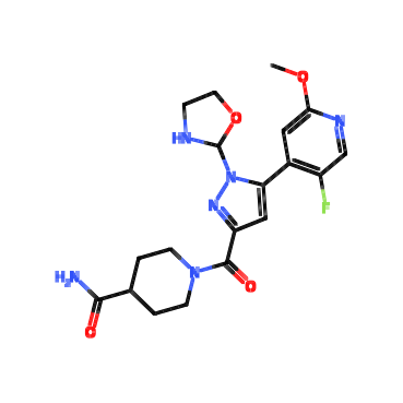 COc1cc(-c2cc(C(=O)N3CCC(C(N)=O)CC3)nn2C2NCCO2)c(F)cn1